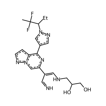 CCC(n1cc(-c2nc(/C(C=N)=C/NCC(O)CO)cn3nccc23)cn1)C(C)(F)F